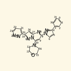 c1ccc(-c2ccn(-c3cc(N4CCOCC4)n4nc(-c5cccnn5)cc4n3)n2)cc1